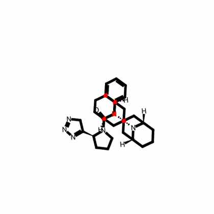 O=C(N1CCC[C@H]1C1=NN=NC1)N(c1ccccc1)[C@H]1C[C@H]2CCC[C@@H](C1)N2[C@H]1C[C@@H]2CCC[C@@H](C2)C1